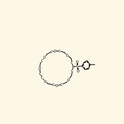 Cc1ccc(S(=O)(=O)N2CCOCCOCCOCCOCCOCCOCCOCC2)cc1